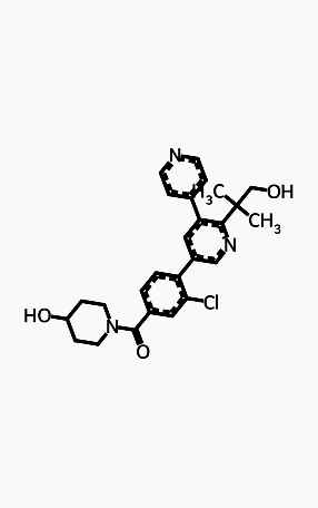 CC(C)(CO)c1ncc(-c2ccc(C(=O)N3CCC(O)CC3)cc2Cl)cc1-c1ccncc1